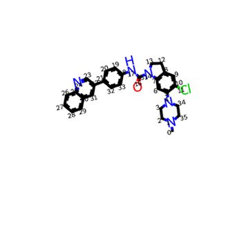 CN1CCN(c2cc3c(cc2Cl)CCN3C(=O)Nc2ccc(-c3cnc4ccccc4c3)cc2)CC1